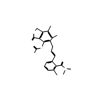 CCC(C)c1c(C)c2c(c(NC(=O)C(F)(F)F)c1C/C=C/c1cccc(C)c1C(=O)N(C)C)C(=O)OC2